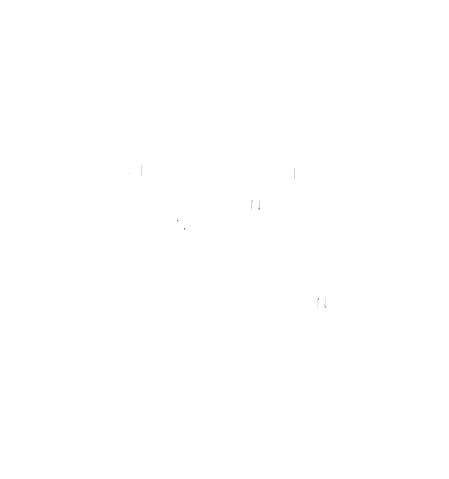 Cn1c(=O)n(SS)c(=O)c2ccncc21